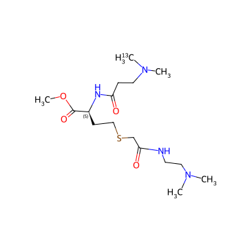 COC(=O)[C@H](CCSCC(=O)NCCN(C)C)NC(=O)CCN(C)[13CH3]